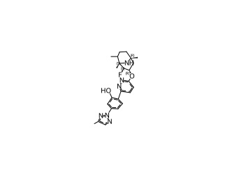 Cc1cnn(-c2ccc(-c3ccc(O[C@@H]4C[C@@]5(C)CCC(C)[C@](C)(N5)[C@@H]4F)nn3)c(O)c2)n1